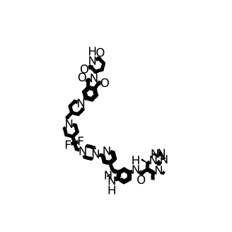 CC1=C(C(=O)Nc2ccc3[nH]nc(-c4ccnc(N5CCN(CC(F)(F)C6CCN(CC7CCN(c8ccc9c(c8)C(=O)N(C8CCC(=O)NC8=O)C9=O)CC7)CC6)CC5)c4)c3c2)[C@@H](C)n2nnnc2N1C